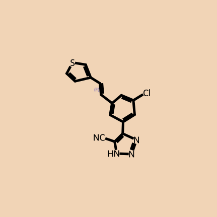 N#Cc1[nH]nnc1-c1cc(Cl)cc(/C=C/c2ccsc2)c1